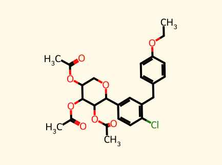 CCOc1ccc(Cc2cc(C3OCC(OC(C)=O)C(OC(C)=O)C3OC(C)=O)ccc2Cl)cc1